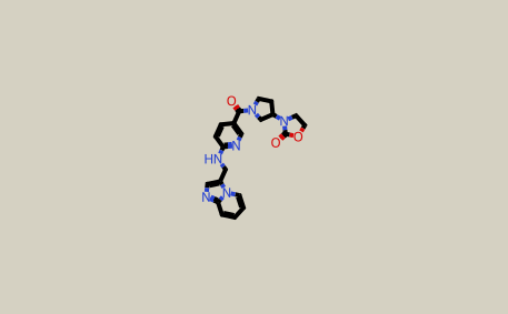 O=C(c1ccc(NCc2cnc3ccccn23)nc1)N1CCC(N2CCOC2=O)C1